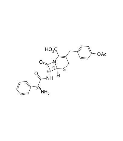 CC(=O)Oc1ccc(CC2=C(C(=O)O)N3C(=O)[C@@H](NC(=O)[C@@H](N)c4ccccc4)[C@@H]3SC2)cc1